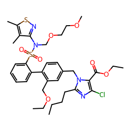 CCCCc1nc(Cl)c(C(=O)OCC)n1Cc1ccc(-c2ccccc2S(=O)(=O)N(COCCOC)c2nsc(C)c2C)c(COCC)c1